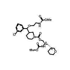 COC(=O)NCCOC(c1cccc(Cl)c1)C1CCCN(C(=O)OC[C@@H](C[C@H]2CCCOC2)NC(=O)OC(C)(C)C)C1